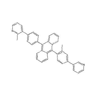 Cc1cc(-c2cccnc2)ccc1-c1c2ccccc2c(-c2ccc(-c3cccnc3C)cc2)c2ccccc12